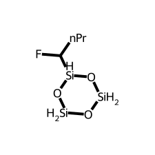 CCCC(F)[SiH]1O[SiH2]O[SiH2]O1